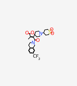 CC1=C(C(=O)N2CCc3ccc(C(F)(F)F)cc3C2)C2(CCN(C3CCS(=O)(=O)CC3)CC2)OC1=O